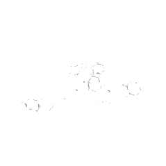 COc1cc(C(c2nnnn2-c2c(C)cccc2C)N2CCN(CC=Cc3ccccc3)CC2)ccc1OCc1ccccc1